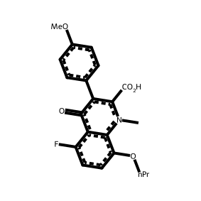 CCCOc1ccc(F)c2c(=O)c(-c3ccc(OC)cc3)c(C(=O)O)n(C)c12